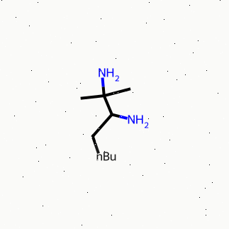 CCCCCC(N)C(C)(C)N